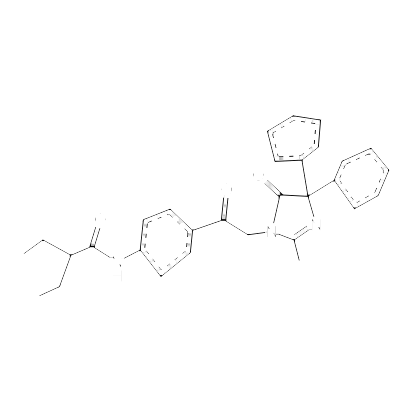 CCC(CC)C(=O)Nc1ccc(C(=O)CN2C(=O)C(c3ccccc3)(c3ccccc3)N=C2C)cc1